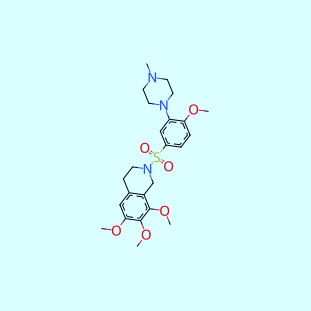 COc1ccc(S(=O)(=O)N2CCc3cc(OC)c(OC)c(OC)c3C2)cc1N1CCN(C)CC1